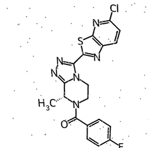 C[C@@H]1c2nnc(-c3nc4ccc(Cl)nc4s3)n2CCN1C(=O)c1ccc(F)cc1